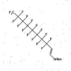 CCCCCC/C=C/C(F)(F)C(F)(F)C(F)(F)C(F)(F)C(F)(F)C(F)(F)C(F)(F)C(F)(F)F